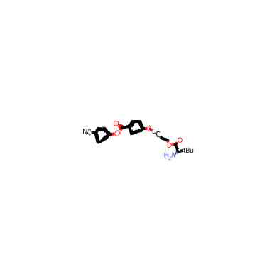 CC(C)(C)C(N)C(=O)OCCCCOc1ccc(C(=O)Oc2ccc(C#N)cc2)cc1